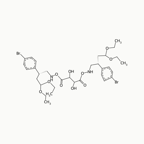 CCOC(C[C@@H](CNOC(=O)C(O)C(O)C(=O)ONC[C@H](CC(OCC)OCC)c1ccc(Br)cc1)c1ccc(Br)cc1)OCC